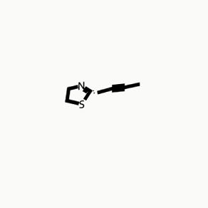 [CH2]C#CC.[C]1=NCCS1